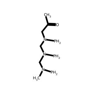 CC(=O)CN(P)CN(P)CN(C)P